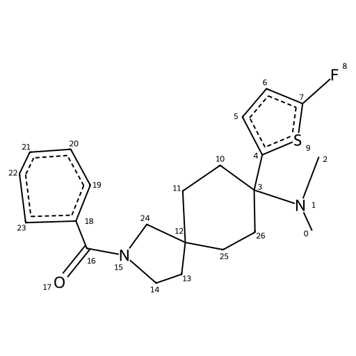 CN(C)C1(c2ccc(F)s2)CCC2(CCN(C(=O)c3ccccc3)C2)CC1